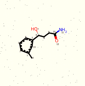 Cc1cccc([C@H](O)CCC(N)=O)c1